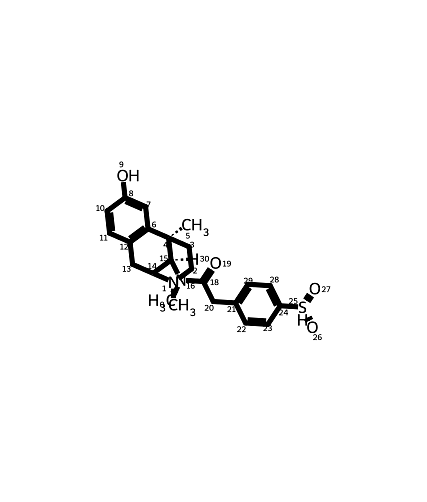 CN1CC[C@]2(C)c3cc(O)ccc3CC1[C@@H]2N(C)C(=O)Cc1ccc([SH](=O)=O)cc1